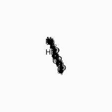 CC(C)(C)OC(=O)N1CCC(S(=O)(=O)c2ccc(NC(=O)C3CN(c4ccnnc4)C3)cc2)CC1